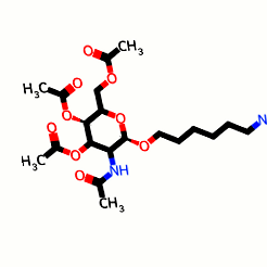 CC(=O)NC1C(OC(C)=O)[C@@H](OC(C)=O)C(COC(C)=O)O[C@H]1OCCCCCCN